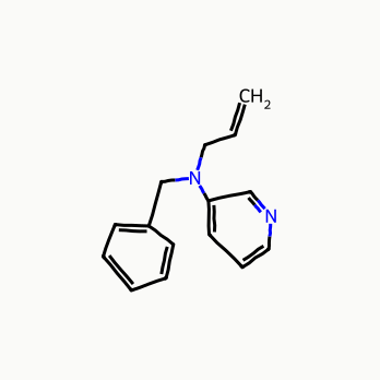 C=CCN(Cc1ccccc1)c1cccnc1